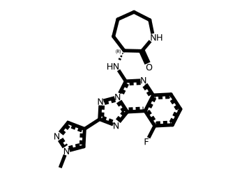 Cn1cc(-c2nc3c4c(F)cccc4nc(N[C@@H]4CCCCNC4=O)n3n2)cn1